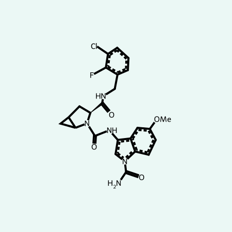 COc1ccc2c(c1)c(NC(=O)N1C3CC3C[C@H]1C(=O)NCc1cccc(Cl)c1F)cn2C(N)=O